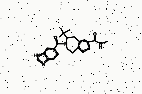 CNC(=O)c1ccc2c(c1)CC(C(C)(C)C)N(C(=O)c1ccc3nc[nH]c3c1)CC2